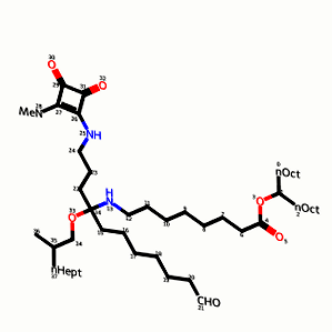 CCCCCCCCC(CCCCCCCC)OC(=O)CCCCCCCNC(CCCCCCC=O)(CCCNc1c(NC)c(=O)c1=O)OCC(C)CCCCCCC